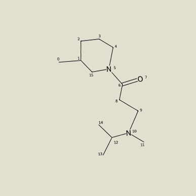 CC1CCCN(C(=O)CCN(C)C(C)C)C1